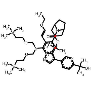 CCOC=Cc1c(C2CC3CCC(C2)N3C(=O)OC(C)(C)C)nc2c(-c3ccc(C(C)(C)O)nc3)cnn2c1N(COCC[Si](C)(C)C)COCC[Si](C)(C)C